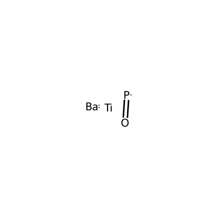 O=[P].[Ba].[Ti]